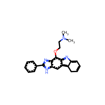 CN(C)CCOc1c2c(cc3[nH]c(-c4ccccc4)nc13)=C1CC=CC=C1N=2